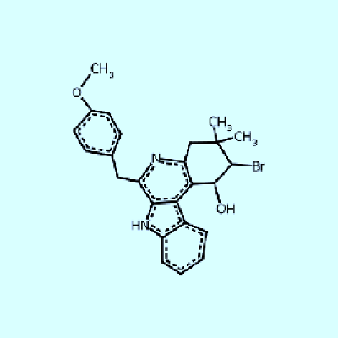 COc1ccc(Cc2nc3c(c4c2[nH]c2ccccc24)C(O)C(Br)C(C)(C)C3)cc1